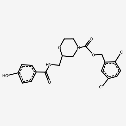 O=C(NCC1CN(C(=O)OCc2cc(Cl)ccc2Cl)CCO1)c1ccc(O)cc1